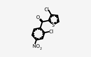 O=C(c1ccc([N+](=O)[O-])cc1Cl)c1sccc1Cl